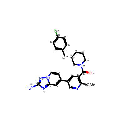 COc1ncc(-c2ccn3nc(N)nc3c2)cc1C(=O)N1CCC[C@@H](Cc2ccc(F)cc2)C1